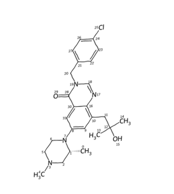 C[C@@H]1CN(C)CCN1c1cc(CC(C)(C)O)c2ncn(Cc3ccc(Cl)cc3)c(=O)c2c1